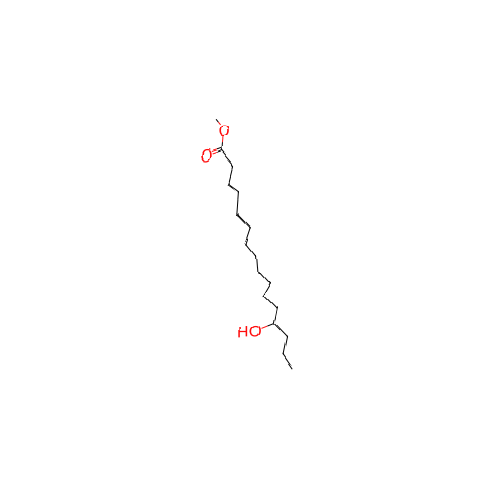 CCCC(O)CCCCCCCCCCCC(=O)OC